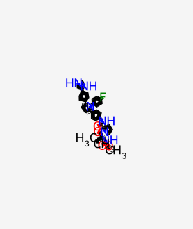 COC(=O)N[C@H](C(=O)N1CCC[C@H]1C(=O)Nc1ccc([C@@H]2CC[C@@H](c3ccc(C4=CNCN4)cc3)N2c2ccc(F)cc2)cc1)C(C)C